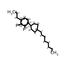 CCCCCCCCC1CCC(c2ccc(CCC)c(F)c2F)CC1